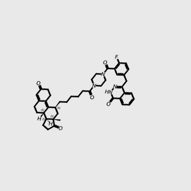 C[C@]12C[C@H](CCCCCC(=O)N3CCN(C(=O)c4cc(Cc5n[nH]c(=O)c6ccccc56)ccc4F)CC3)C3=C4CCC(=O)C=C4CC[C@H]3[C@@H]1CCC2=O